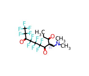 CCC(=O)/C(=C\N(C)C)C(=O)C(F)(F)C(F)(F)C(F)(F)C(=O)C(F)(F)C(F)(F)F